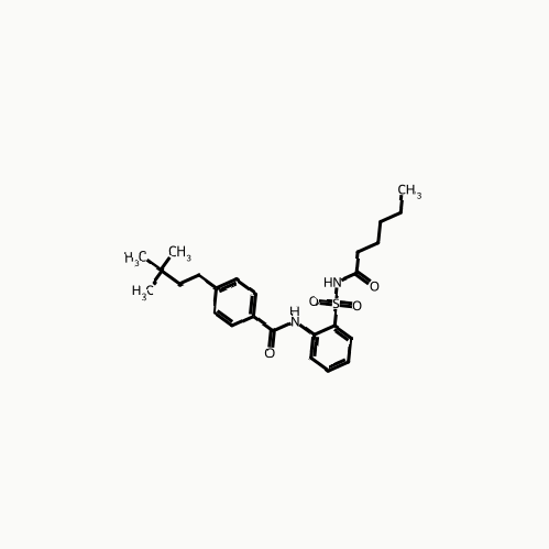 CCCCCC(=O)NS(=O)(=O)c1ccccc1NC(=O)c1ccc(CCC(C)(C)C)cc1